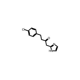 O=C(CCc1ccc(Cl)cc1)Cc1ncc[nH]1